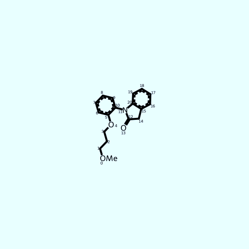 COCCCOc1ccccc1N1C(=O)Cc2ccccc21